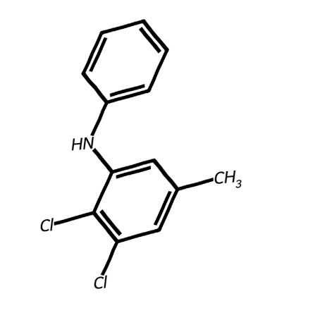 Cc1cc(Cl)c(Cl)c(Nc2ccccc2)c1